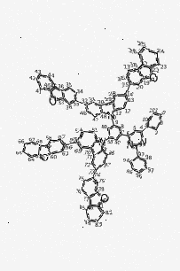 c1ccc(-c2cc(-c3cc(-n4c5ccc(-c6ccc7c(c6)oc6ccccc67)cc5c5cc(-c6ccc7c(c6)oc6ccccc67)ccc54)cc(-n4c5ccc(-c6ccc7c(c6)oc6ccccc67)cc5c5cc(-c6ccc7c(c6)oc6ccccc67)ccc54)c3)nc(-c3ccccc3)n2)cc1